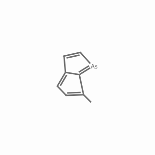 CC1=CC=C2[C]=C[As]=C12